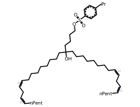 CCCCC/C=C\C/C=C\CCCCCCCCC(O)(CCCCCCCC/C=C\C/C=C\CCCCC)CCCCOS(=O)(=O)c1ccc(C(C)C)cc1